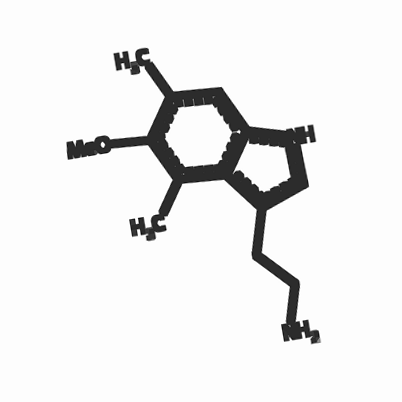 COc1c(C)cc2[nH]cc(CCN)c2c1C